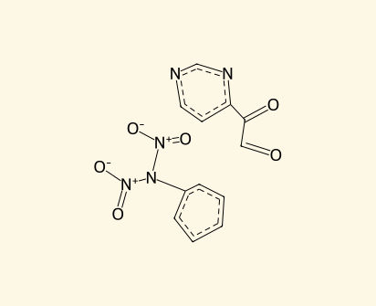 O=CC(=O)c1ccncn1.O=[N+]([O-])N(c1ccccc1)[N+](=O)[O-]